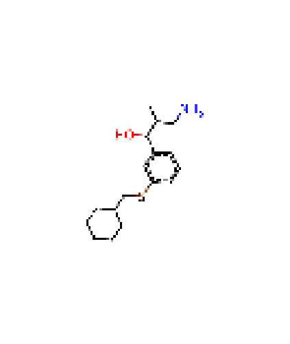 CC(CN)C(O)c1cccc(SCC2CCCCC2)c1